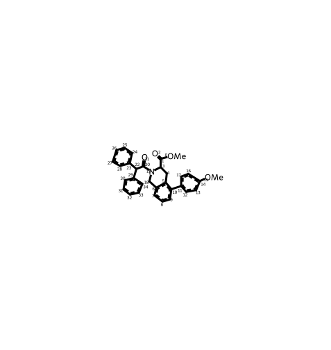 COC(=O)C1Cc2c(cccc2-c2ccc(OC)cc2)CN1C(=O)C(c1ccccc1)c1ccccc1